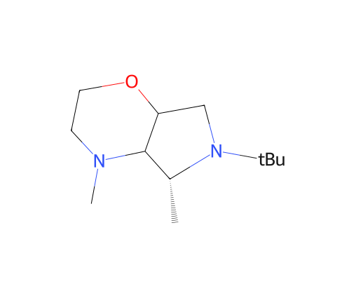 C[C@@H]1C2C(CN1C(C)(C)C)OCCN2C